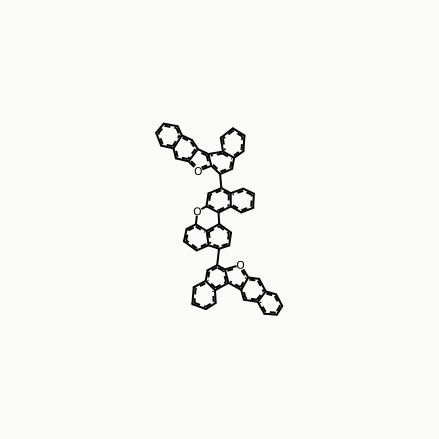 c1ccc2cc3c(cc2c1)oc1c(-c2cc4c(c5ccccc25)-c2ccc(-c5cc6ccccc6c6c5oc5cc7ccccc7cc56)c5cccc(c25)O4)cc2ccccc2c13